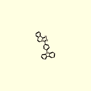 c1ccc2c(c1)ccn1c(-c3ccc(-n4c5ccccc5c5ccccc54)cc3)nnc21